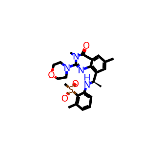 Cc1cc([C@@H](C)Nc2cccc(C)c2S(C)(=O)=O)c2nc(N3CCOCC3)n(C)c(=O)c2c1